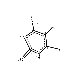 Cc1[nH]c(=O)nc(N)c1C